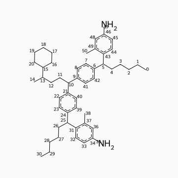 CCCCCC(c1ccc(C(CCC(C)C2CCCCC2)c2ccc(C(CCCCC)c3ccc(N)cc3C)cc2)cc1)c1ccc(N)cc1C